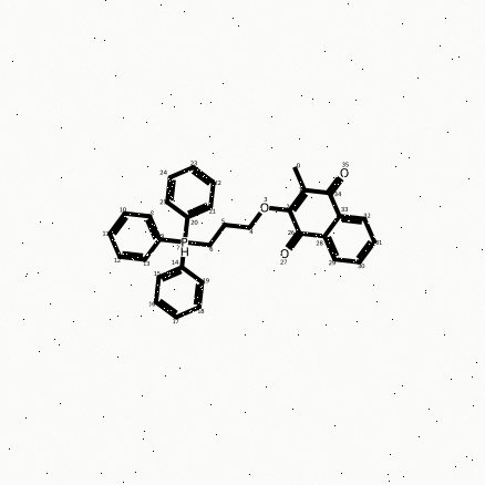 CC1=C(OCCC[PH](c2ccccc2)(c2ccccc2)c2ccccc2)C(=O)c2ccccc2C1=O